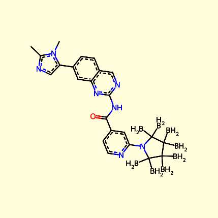 BC1(B)N(c2cc(C(=O)Nc3ncc4ccc(-c5cnc(C)n5C)cc4n3)ccn2)C(B)(B)C(B)(B)C1(B)B